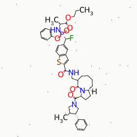 CCCOC(=O)[C@H](C)NP(=O)(Oc1ccccc1)[C@@H](F)c1ccc2sc(C(=O)NCC3CCCC[C@H]4CC[C@@H](C(=O)N5C[C@H](c6ccccc6)[C@@H](C)C5)N4C3=O)cc2c1